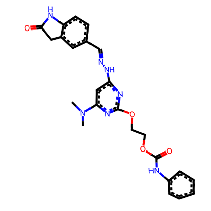 CN(C)c1cc(NN=Cc2ccc3c(c2)CC(=O)N3)nc(OCCOC(=O)Nc2ccccc2)n1